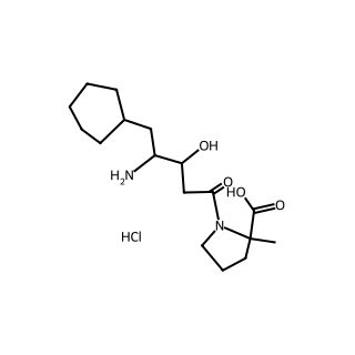 CC1(C(=O)O)CCCN1C(=O)CC(O)C(N)CC1CCCCC1.Cl